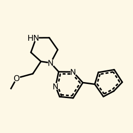 COCC1CNCCN1c1nccc(-c2ccccc2)n1